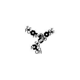 O=C(O)c1cncc2sc(N3CCN(S(=O)(=O)c4ccc(OC(F)(F)F)cc4)C(C(=O)NCc4ccc(OC(F)(F)F)cc4)C3)nc12